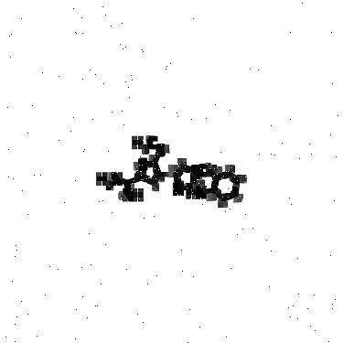 CSc1sc(C(=N)N)cc1-c1csc(Nc2ccccc2Cl)n1